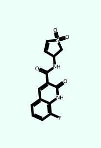 O=C(NC1C=CS(=O)(=O)C1)c1cc2cccc(F)c2[nH]c1=O